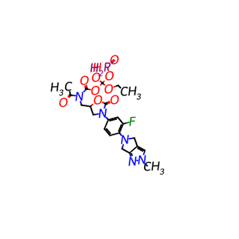 CCOC(O)(O[PH2]=O)OC(=O)N(CC1CN(c2ccc(N3Cc4cn(C)nc4C3)c(F)c2)C(=O)O1)C(C)=O